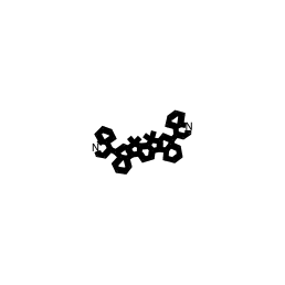 CC1(C)C2=C(c3ccc4c(c31)C(C)(C)c1cc(-c3ccnc5ccccc35)c3ccccc3c1-4)C1CC=CC=C1C(c1ccnc3ccccc13)=C2